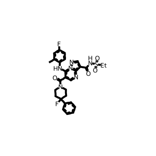 CCS(=O)(=O)NC(=O)c1cnn2c(Nc3ccc(F)cc3C)c(C(=O)N3CCC(F)(c4ccccc4)CC3)cnc12